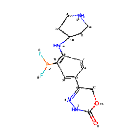 O=C1NN=C(c2ccc(NC3CCNCC3)c(P(F)F)c2)CO1